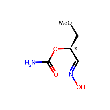 COC[C@@H](C=NO)OC(N)=O